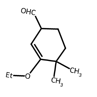 CCOC1=CC(C=O)CCC1(C)C